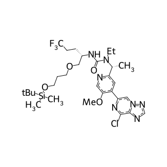 CCN(C(=O)N[C@@H](CCC(F)(F)F)COCCCO[Si](C)(C)C(C)(C)C)[C@H](C)c1cc(-c2cn3ncnc3c(Cl)n2)c(OC)cn1